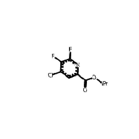 CC(C)OC(=O)c1cc(Cl)c(F)c(F)n1